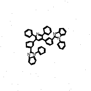 c1ccc(-c2nc(-c3ccccc3)c(-c3cccc(-c4nc5ccccc5n4-c4ccccc4)c3)cc2-c2cccc(-c3nc4ccccc4n3-c3ccccc3)c2)cc1